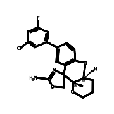 C[C@]12OCCC[C@@H]1Oc1ccc(-c3cc(F)cc(Cl)c3)cc1C21COC(N)=N1